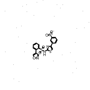 O=[N+]([O-])c1cccc(-c2csc(NS(=O)(=O)c3ccccc3-c3cnoc3)n2)c1